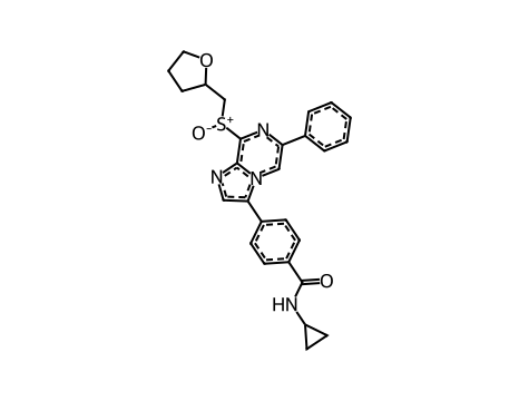 O=C(NC1CC1)c1ccc(-c2cnc3c([S+]([O-])CC4CCCO4)nc(-c4ccccc4)cn23)cc1